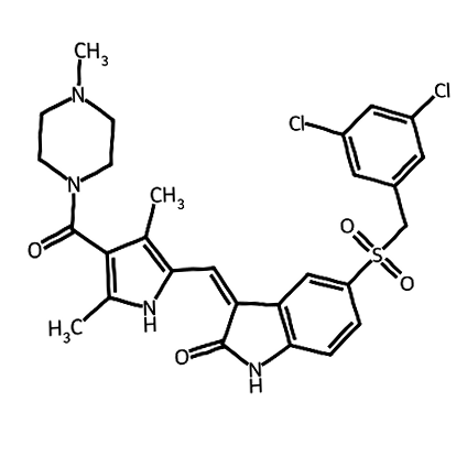 Cc1[nH]c(/C=C2\C(=O)Nc3ccc(S(=O)(=O)Cc4cc(Cl)cc(Cl)c4)cc32)c(C)c1C(=O)N1CCN(C)CC1